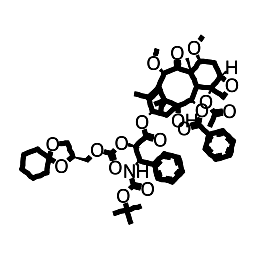 CO[C@H]1C(=O)[C@@]2(C)C([C@H](OC(=O)c3ccccc3)C3(O)C[C@H](OC(=O)[C@H](OC(=O)OC[C@@H]4COC5(CCCCC5)O4)[C@@H](NC(=O)OC(C)(C)C)c4ccccc4)C(C)=C1C3(C)C)[C@]1(OC(C)=O)CO[C@@H]1C[C@@H]2OC